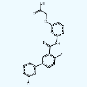 O=C(O)COc1cccc(NC(=O)c2cc(-c3cccc(Cl)c3)ccc2F)c1